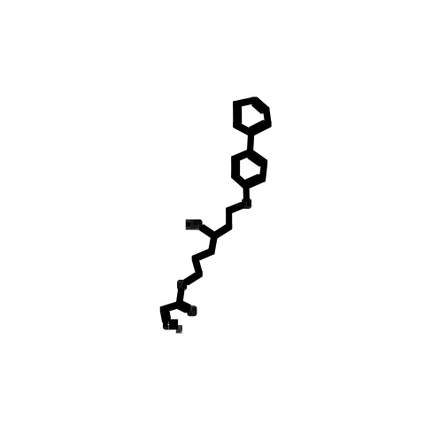 C=CC(=O)OCCCC(O)CCOc1ccc(-c2ccccc2)cc1